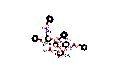 CC[C@H]1O[C@@H](O[C@@H]2[C@@H](C)[C@H](C)C[C@H](NC(=O)OCc3ccccc3)[C@H]2O[C@H]2O[C@H](COC(C)=O)[C@@H]3OC3[C@H]2C)[C@H](OC(=O)c2ccccc2)[C@@H]1O[C@H]1O[C@@H](CNC(=O)OCc2ccccc2)[C@@H](OC(=O)c2ccccc2)[C@H](C)[C@H]1C